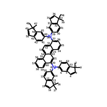 CC1(C)C=Cc2cc(N(c3ccc4c(c3)C(C)(C)C=C4)c3cc4c5cccc(N(c6ccc7c(c6)C=CC7(C)C)c6ccc7c(c6)C(C)(C)C=C7)c5ccc4c4ccccc34)ccc21